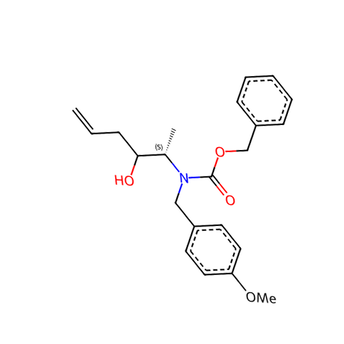 C=CCC(O)[C@H](C)N(Cc1ccc(OC)cc1)C(=O)OCc1ccccc1